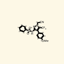 COc1ccc(-c2c(NS(=O)(=O)c3ccccc3)nn(CC#N)c2C(F)(F)F)cc1